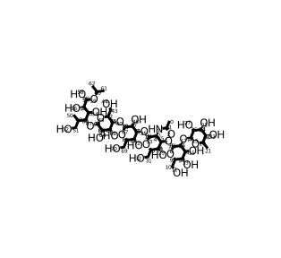 CC(=O)N[C@H]1C(O[C@@H]2OC(CO)[C@H](O)C(O)[C@@H]2O[C@@H]2OC(C)[C@@H](O)[C@H](O)C2O)[C@@H](O)C(CO)O[C@H]1O[C@@H]1C(O)[C@@H](O[C@H]2C(CO)O[C@@H](O[C@H](C(C)CO)C(O)[C@H](O)[C@@H](O)OC(C)C)[C@@H](O)C2O)OC(CO)[C@@H]1O